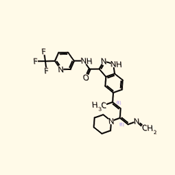 C=N/C=C(\C=C(/C)c1ccc2[nH]nc(C(=O)Nc3ccc(C(F)(F)F)nc3)c2c1)N1CCCCC1